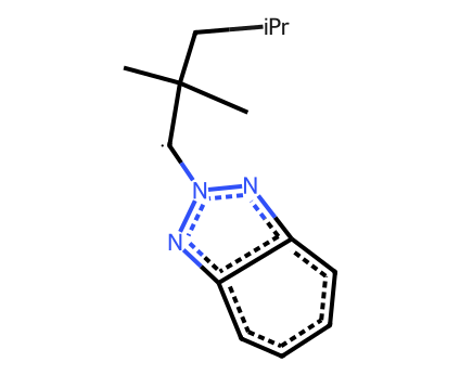 CC(C)CC(C)(C)[CH]n1nc2ccccc2n1